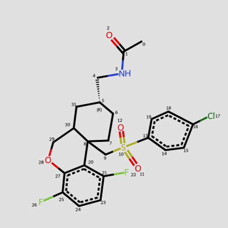 CC(=O)NC[C@@H]1CCC2(CS(=O)(=O)c3ccc(Cl)cc3)c3c(F)ccc(F)c3OCC2C1